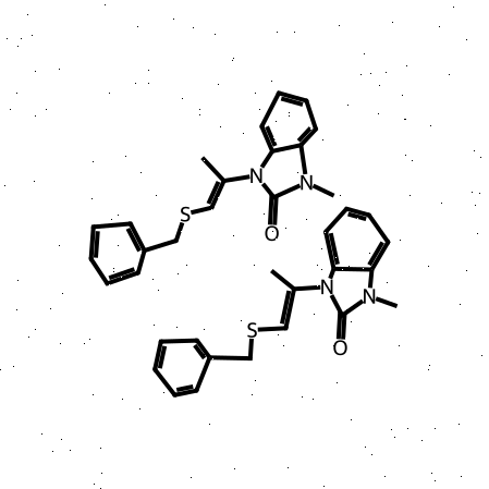 CC(=CSCc1ccccc1)n1c(=O)n(C)c2ccccc21.CC(=CSCc1ccccc1)n1c(=O)n(C)c2ccccc21